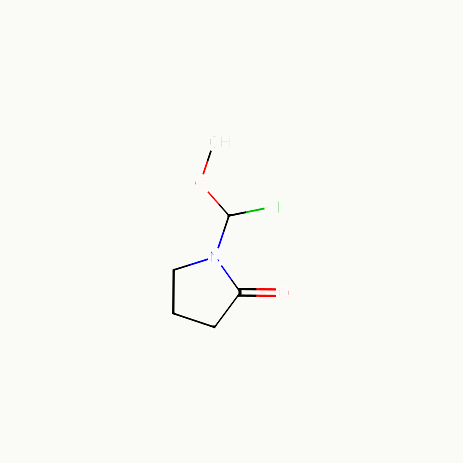 COC(Cl)N1CCCC1=O